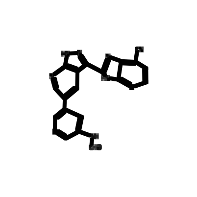 N#Cc1ccnc2[nH]c(-c3n[nH]c4ncc(-c5cncc(NC=O)c5)cc34)nc12